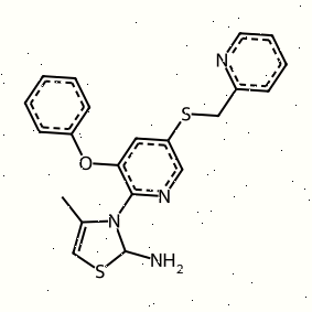 CC1=CSC(N)N1c1ncc(SCc2ccccn2)cc1Oc1ccccc1